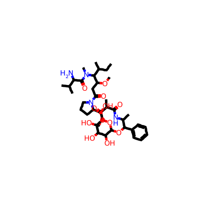 CCC(C)C(C(CC(=O)N1CCCC1C(OC)C(C)C(=O)NC(C)C(OC1OC(C(=O)O)C(O)C(O)C1O)c1ccccc1)OC)N(C)C(=O)C(N)C(C)C